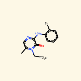 CCc1ccccc1Nc1ncc(C)n(CC(=O)O)c1=O